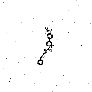 Cn1c(=O)oc2cc(C3CCN(C(=O)NCCOCc4ccccc4)C(C)(C)C3)ccc21